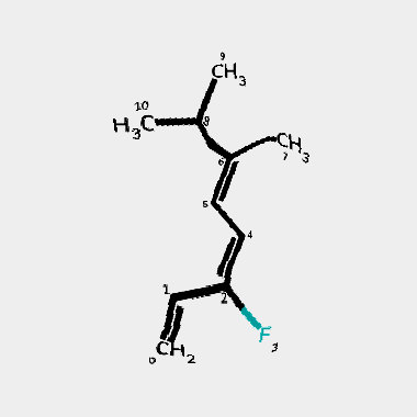 C=C/C(F)=C\C=C(/C)C(C)C